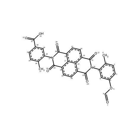 Cc1ccc(OC=O)cc1N1C(=O)c2ccc3c4c(ccc(c24)C1=O)C(=O)N(c1cc(C(=O)O)ccc1C)C3=O